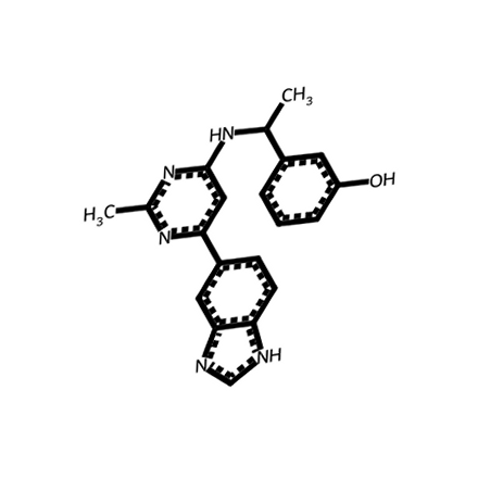 Cc1nc(NC(C)c2cccc(O)c2)cc(-c2ccc3[nH]cnc3c2)n1